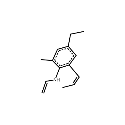 C=CNc1c(C)cc(CC)cc1/C=C\C